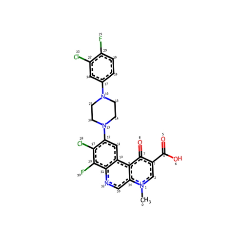 Cn1cc(C(=O)O)c(=O)c2c3cc(N4CCN(c5ccc(F)c(Cl)c5)CC4)c(Cl)c(F)c3ncc21